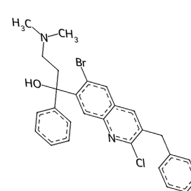 CN(C)CCC(O)(c1ccccc1)c1cc2nc(Cl)c(Cc3ccccc3)cc2cc1Br